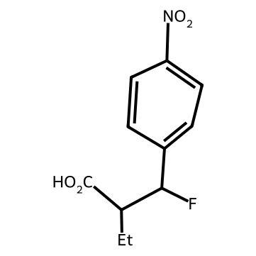 CCC(C(=O)O)C(F)c1ccc([N+](=O)[O-])cc1